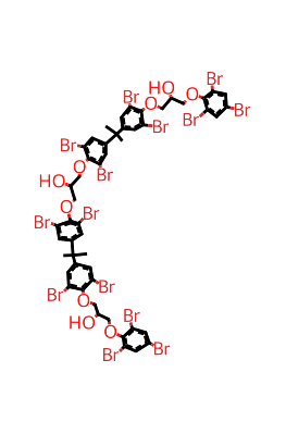 CC(C)(c1cc(Br)c(OCC(O)COc2c(Br)cc(Br)cc2Br)c(Br)c1)c1cc(Br)c(OCC(O)COc2c(Br)cc(C(C)(C)c3cc(Br)c(OCC(O)COc4c(Br)cc(Br)cc4Br)c(Br)c3)cc2Br)c(Br)c1